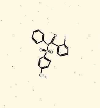 Cc1ccc(S(=O)(=O)N(C(=O)c2ccccc2I)c2ccccc2)cc1